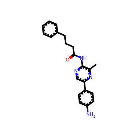 Cc1nc(-c2ccc(N)cc2)cnc1NC(=O)CCCc1ccccc1